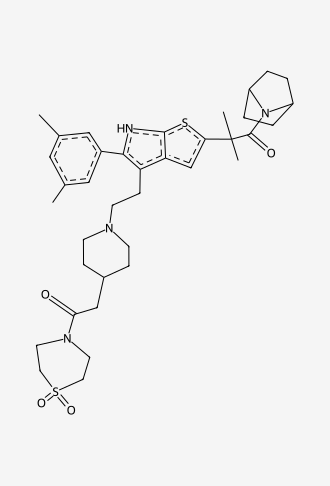 Cc1cc(C)cc(-c2[nH]c3sc(C(C)(C)C(=O)N4C5CCC4CC5)cc3c2CCN2CCC(CC(=O)N3CCS(=O)(=O)CC3)CC2)c1